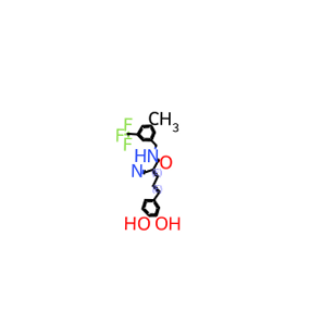 Cc1cc(CNC(=O)/C(C#N)=C/C=C/c2ccc(O)c(O)c2)cc(C(F)(F)F)c1